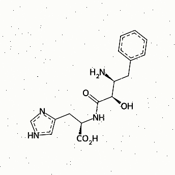 N[C@@H](Cc1ccccc1)[C@@H](O)C(=O)N[C@H](Cc1c[nH]cn1)C(=O)O